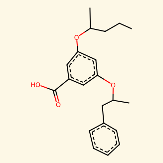 CCCC(C)Oc1cc(OC(C)Cc2ccccc2)cc(C(=O)O)c1